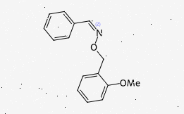 COc1ccccc1CO/N=[C]\c1ccccc1